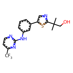 CC(C)(CO)c1ncc(-c2cccc(Nc3nccc(C(F)(F)F)n3)c2)s1